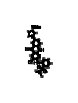 CCOc1cc(N2CC[C@H](NC)C2)ccc1Nc1ncc(Cl)c(Nc2ccccc2S(=O)(=O)N(C)C)n1